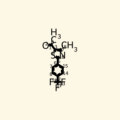 CC(=O)c1sc(-c2ccc(C(F)(F)F)cc2)nc1C